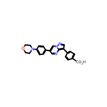 O=C(O)c1ccc(-c2cnn3cc(-c4ccc(N5CCOCC5)cc4)cnc23)cc1